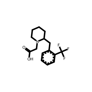 O=C(O)CN1CCCCC1Cc1ccccc1C(F)(F)F